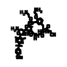 Cc1nc(C(C)(C)c2ccc(C(C)(C)C)cc2)nc(C)c1C(=O)NC(CCN)C(=O)N(C)C1C(=O)NC(C)C(=O)NC(C(=O)NCC#N)Cc2ccc(OCCN)c(c2)-c2cc1ccc2OCCN